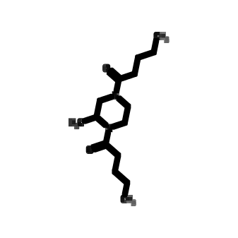 CCCCC(=O)N1CCN(C(=O)CCCC)C(C)C1